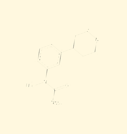 CNC(=O)N(C)c1cccc(C2CCNCC2)c1